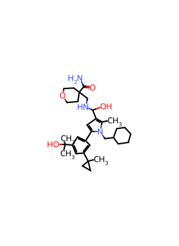 Cc1c(C(O)NCC2(C(N)=O)CCOCC2)cc(-c2cc(C(C)(C)O)cc(C3(C)CC3)c2)n1CC1CCCCC1